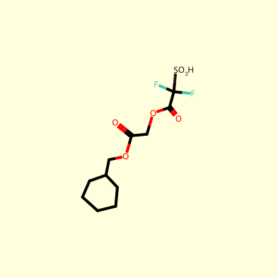 O=C(COC(=O)C(F)(F)S(=O)(=O)O)OCC1CCCCC1